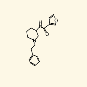 O=C(NC1[CH]CCN(CCc2ccccc2)C1)c1ccoc1